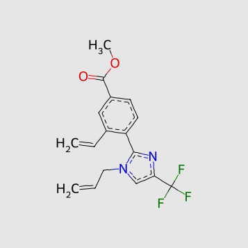 C=CCn1cc(C(F)(F)F)nc1-c1ccc(C(=O)OC)cc1C=C